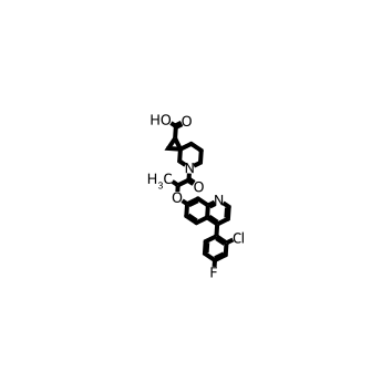 CC(Oc1ccc2c(-c3ccc(F)cc3Cl)ccnc2c1)C(=O)N1CCCC2(CC2C(=O)O)C1